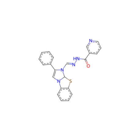 O=C(NN=CN1C(c2ccccc2)=CN2c3ccccc3SC12)c1cccnc1